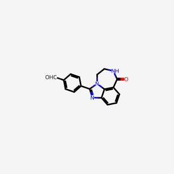 O=Cc1ccc(-c2nc3cccc4c3n2CCNC4=O)cc1